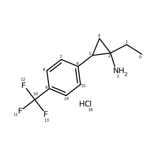 CCC1(N)CC1c1ccc(C(F)(F)F)cc1.Cl